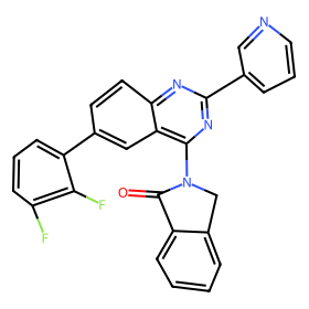 O=C1c2ccccc2CN1c1nc(-c2cccnc2)nc2ccc(-c3cccc(F)c3F)cc12